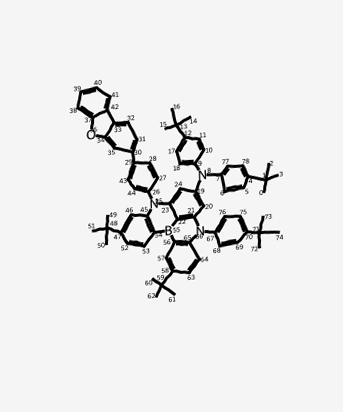 CC(C)(C)c1ccc(N(c2ccc(C(C)(C)C)cc2)c2cc3c4c(c2)N(c2ccc(-c5ccc6c(c5)oc5ccccc56)cc2)c2cc(C(C)(C)C)ccc2B4c2cc(C(C)(C)C)ccc2N3c2ccc(C(C)(C)C)cc2)cc1